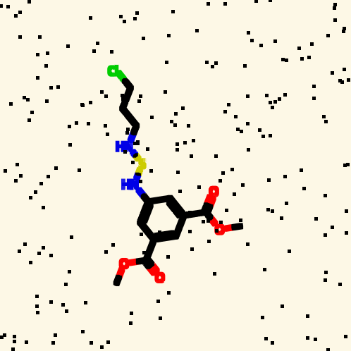 COC(=O)c1cc(NSNCCCCl)cc(C(=O)OC)c1